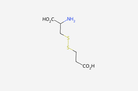 NC(CSSCCC(=O)O)C(=O)O